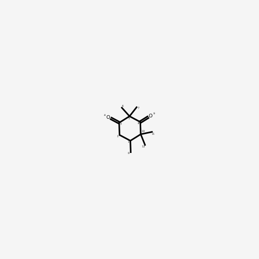 CC1CC(=O)C(C)(C)C(=O)C1(C)C